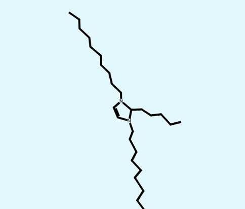 CCCCCCCCCCN1C=CN(CCCCCCCCCC)C1CCCCC